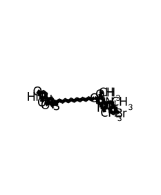 COc1cc2c(N[C@H](C)c3cccc(Br)c3)nc(C)nc2cc1OCCCCCCCCCCCCc1scc2c1CN(C1CCC(=O)NC1=O)C2=O